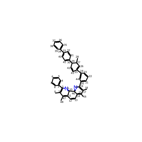 Cc1c(-c2ccccc2)nc2c(ccc3c(C)c(C)c(-c4cccc(C5=CC(C)C(c6ccc(-c7ccccc7)cc6)C=C5)c4)nc32)c1C